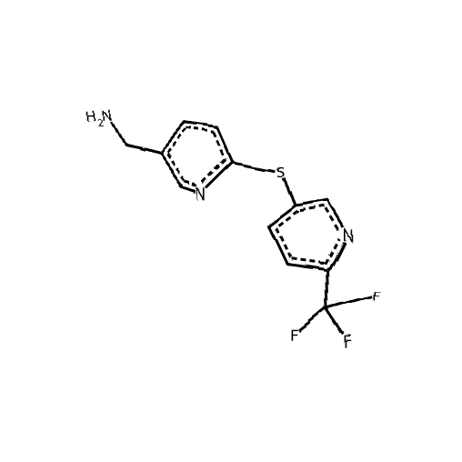 NCc1ccc(Sc2ccc(C(F)(F)F)nc2)nc1